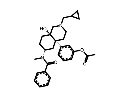 CC(=O)Oc1cccc([C@@]23CCN(CC4CC4)C[C@@]2(O)CC[C@@H](N(C)C(=O)c2ccccc2)C3)c1